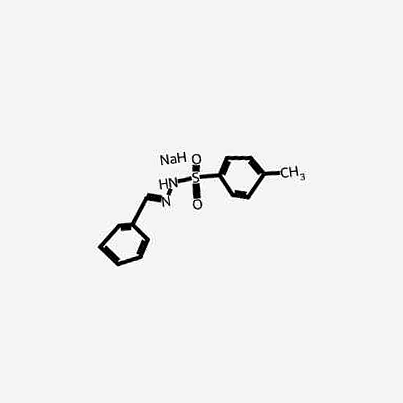 Cc1ccc(S(=O)(=O)NN=Cc2ccccc2)cc1.[NaH]